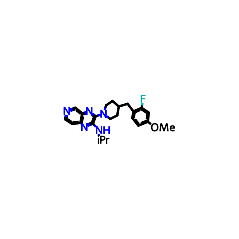 COc1ccc(CC2CCN(c3nc4cnccc4nc3NC(C)C)CC2)c(F)c1